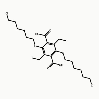 CCc1c(OCCCCCCCl)c(C(=O)O)c(CC)c(OCCCCCCCl)c1C(=O)O